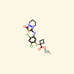 COC(=O)C1(Sc2cc(N=c3sc(=O)n4n3CCCC4)c(F)cc2Cl)CCC1